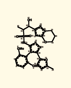 COc1cccc(OC)c1-n1c(NS(=O)(=O)C(C)C(O)c2cc3n(n2)CCCO3)nnc1-c1ccc(C)o1